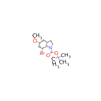 COc1cc(Br)c2c(ccn2C(=O)OC(C)(C)C)c1